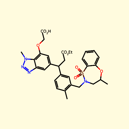 CCOC(=O)CC(c1ccc(C)c(CN2CC(C)Oc3ccccc3S2(=O)=O)c1)c1cc(OCC(=O)O)c2c(c1)nnn2C